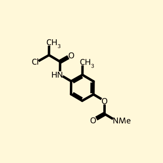 CNC(=O)Oc1ccc(NC(=O)C(C)Cl)c(C)c1